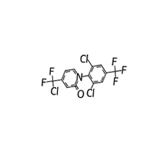 O=c1cc(C(F)(F)Cl)ccn1-c1c(Cl)cc(C(F)(F)F)cc1Cl